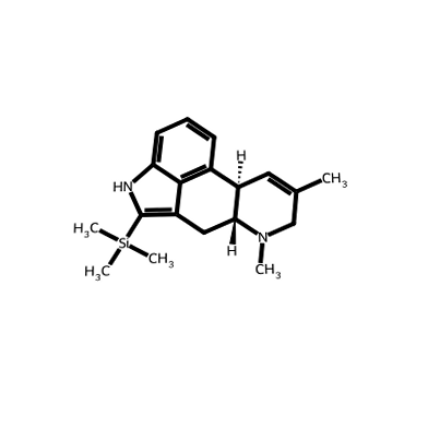 CC1=C[C@@H]2c3cccc4[nH]c([Si](C)(C)C)c(c34)C[C@H]2N(C)C1